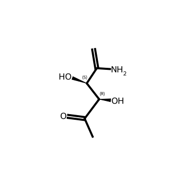 C=C(N)[C@H](O)[C@@H](O)C(C)=O